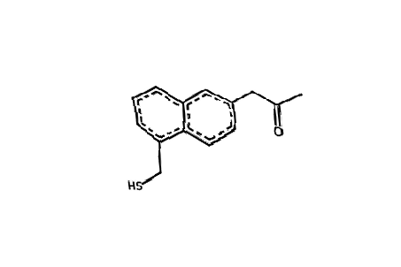 CC(=O)Cc1ccc2c(CS)cccc2c1